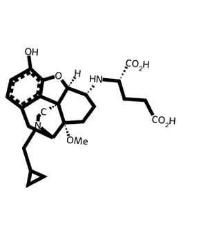 CO[C@@]12CC[C@@H](N[C@@H](CCC(=O)O)C(=O)O)[C@@H]3Oc4c(O)ccc5c4[C@@]31CCN(CC1CC1)C2C5